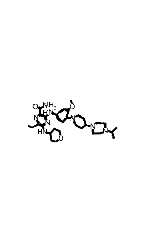 CCc1nc(C(N)=O)c(Nc2ccc(N3CCC(N4CCN(C(C)C)CC4)CC3)c(OC)c2)nc1NC1CCOCC1